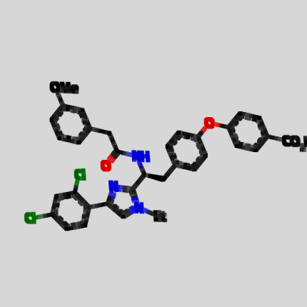 CCn1cc(-c2ccc(Cl)cc2Cl)nc1[C@H](Cc1ccc(Oc2ccc(C(=O)O)cc2)cc1)NC(=O)Cc1cccc(OC)c1